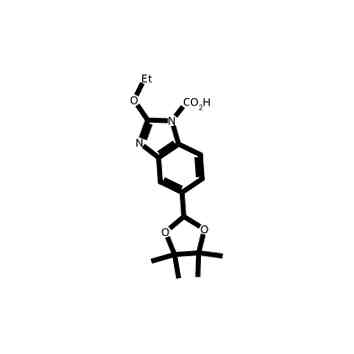 CCOc1nc2cc(C3OC(C)(C)C(C)(C)O3)ccc2n1C(=O)O